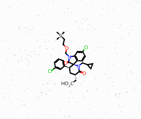 C[Si](C)(C)CCOCN1C(=O)[C@]2(c3ccc(Cl)cc31)[C@H](c1cccc(Cl)c1)C[C@@H](CC(=O)O)C(=O)N2CC1CC1